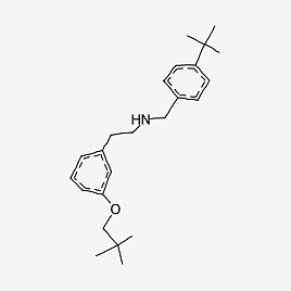 CC(C)(C)COc1cccc(CCNCc2ccc(C(C)(C)C)cc2)c1